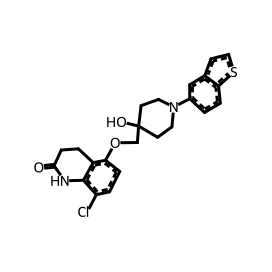 O=C1CCc2c(OCC3(O)CCN(c4ccc5sccc5c4)CC3)ccc(Cl)c2N1